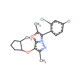 Cc1nn2c(-c3ccc(Cl)cc3Cl)c(C)oc2c1OC1CCCC1C